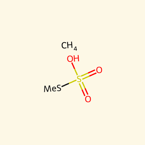 C.CSS(=O)(=O)O